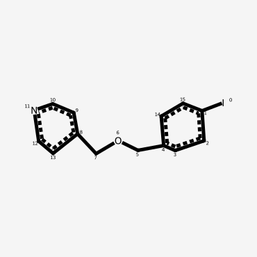 Ic1ccc(COCc2ccncc2)cc1